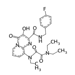 CCN(CC)C(=O)C(=O)N(CC)c1cccn2c(=O)c(O)c(C(=O)NCc3ccc(F)cc3)nc12